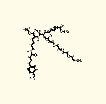 CC(C)Cc1ccc(CCCC(=O)NCCCCC(NC(=O)C(CCCCNC(=O)OC(C)(C)C)NC(=O)CCOCCOCCOCCN)C(=O)OC(C)(C)C)cc1